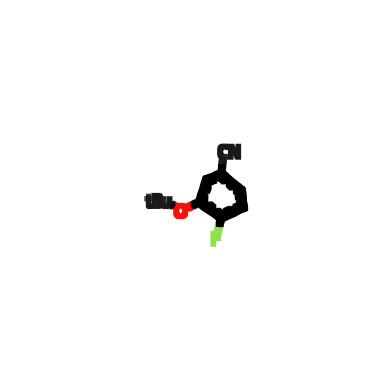 CC(C)(C)Oc1cc(C#N)ccc1F